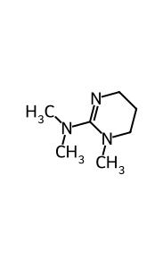 CN(C)C1=NCCCN1C